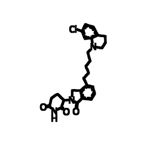 O=C1CCC(N2Cc3c(CCCCCN4CCCc5ccc(Cl)cc54)cccc3C2=O)C(=O)N1